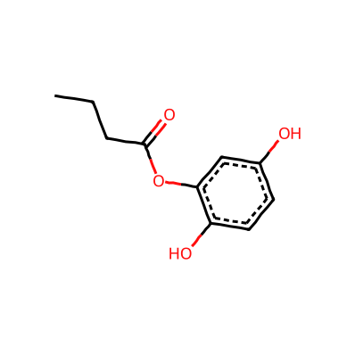 CCCC(=O)Oc1cc(O)ccc1O